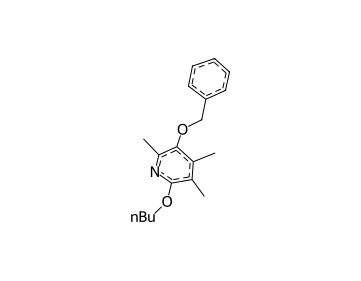 CCCCOc1nc(C)c(OCc2ccccc2)c(C)c1C